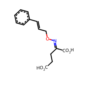 O=C(O)CCC(=NOCC=Cc1ccccc1)C(=O)O